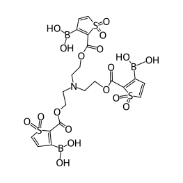 O=C(OCCN(CCOC(=O)C1=C(B(O)O)C=CS1(=O)=O)CCOC(=O)C1=C(B(O)O)C=CS1(=O)=O)C1=C(B(O)O)C=CS1(=O)=O